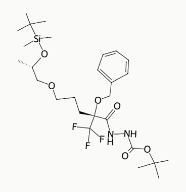 C[C@@H](COCCC[C@@](OCc1ccccc1)(C(=O)NNC(=O)OC(C)(C)C)C(F)(F)F)O[Si](C)(C)C(C)(C)C